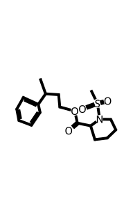 CC(CCOC(=O)C1CCCCN1S(C)(=O)=O)c1ccccc1